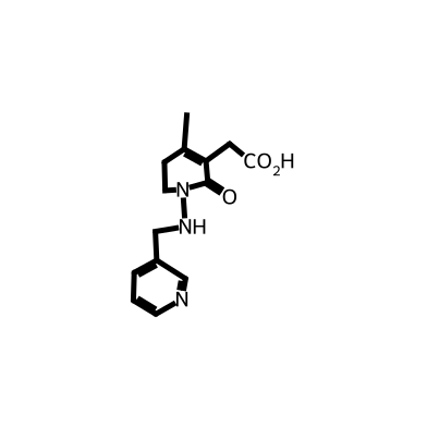 CC1=C(CC(=O)O)C(=O)N(NCc2cccnc2)CC1